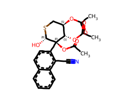 CC(=O)O[C@@H]1CS[C@@H](O)[C@@](OC(C)=O)(c2ccc3ccccc3c2C#N)[C@H]1OC(C)=O